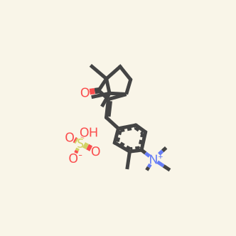 Cc1cc(C=C2C(=O)C3(C)CCC2C3(C)C)ccc1[N+](C)(C)C.O=S(=O)([O-])O